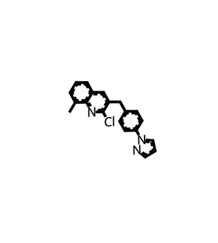 Cc1cccc2cc(Cc3ccc(-n4cccn4)cc3)c(Cl)nc12